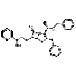 O=C(OCc1ccccc1)C1=C(Sc2ccccc2)CC2C(CCC(O)c3ccccc3)C(=O)N12